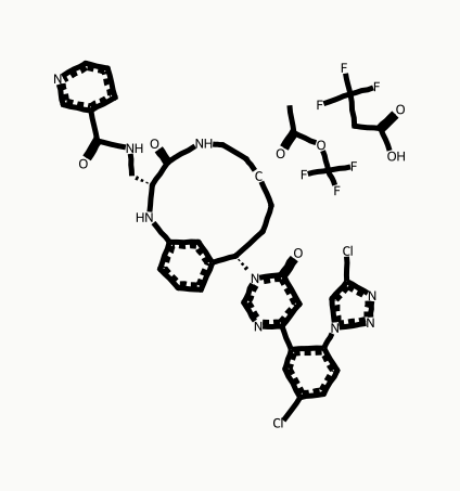 CC(=O)OC(F)(F)F.O=C(NC[C@H]1Nc2cccc(c2)[C@@H](n2cnc(-c3cc(Cl)ccc3-n3cc(Cl)nn3)cc2=O)CCCCCNC1=O)c1cccnc1.O=C(O)CC(F)(F)F